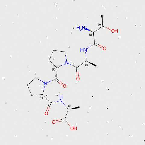 C[C@H](NC(=O)[C@@H]1CCCN1C(=O)[C@@H]1CCCN1C(=O)[C@H](C)NC(=O)[C@@H](N)[C@@H](C)O)C(=O)O